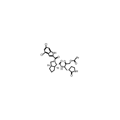 CC(C)C(=O)OCC(=O)C(C[C@@H]1CCNC1=O)NC(=O)[C@@H]1[C@H]2CCC[C@H]2CN1C(=O)c1cc2c(Cl)cc(Cl)cc2[nH]1